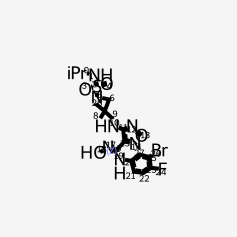 CC(C)NS(=O)(=O)N1CC(C)(CNc2nonc2/C(=N/O)Nc2ccc(F)c(Br)c2)C1